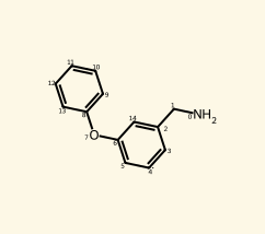 NCc1c[c]cc(Oc2ccccc2)c1